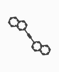 C(#Cc1ccc2ccccc2c1)c1ccc2ccc[c]c2c1